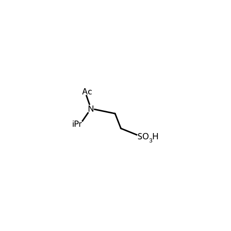 CC(=O)N(CCS(=O)(=O)O)C(C)C